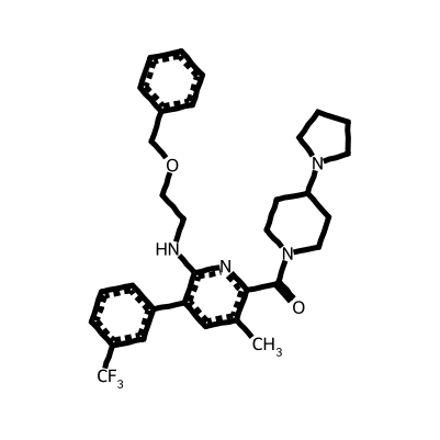 Cc1cc(-c2cccc(C(F)(F)F)c2)c(NCCOCc2ccccc2)nc1C(=O)N1CCC(N2CCCC2)CC1